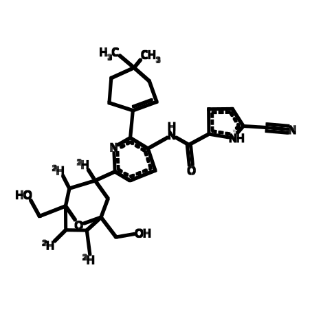 [2H]C1C([2H])C2(CO)OC1(CO)CC([2H])(c1ccc(NC(=O)c3ccc(C#N)[nH]3)c(C3=CCC(C)(C)CC3)n1)C2[2H]